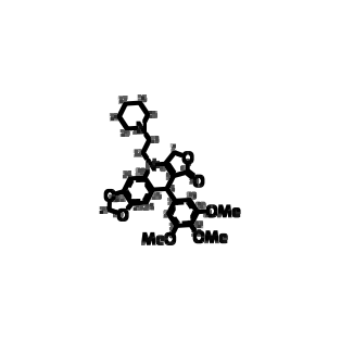 COc1cc(C2C3=C(COC3=O)N(CCN3CCCCC3)c3cc4c(cc32)OCO4)cc(OC)c1OC